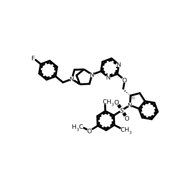 COc1cc(C)c(S(=O)(=O)N2c3ccccc3C[C@H]2COc2nccc(N3CC4CC3CN4Cc3ccc(F)cc3)n2)c(C)c1